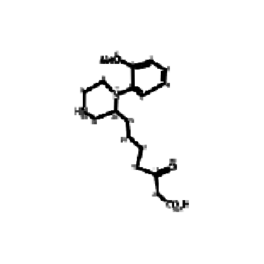 COc1ccccc1N1CCNCC1CCCCC(=O)CC(=O)O